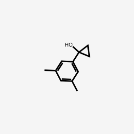 Cc1cc(C)cc(C2(O)CC2)c1